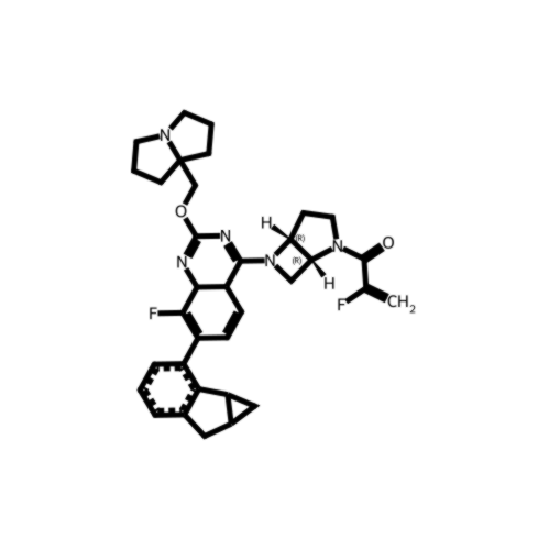 C=C(F)C(=O)N1CC[C@@H]2[C@H]1CN2C1=NC(OCC23CCCN2CCC3)=NC2C(F)=C(c3cccc4c3C3CC3C4)C=CC12